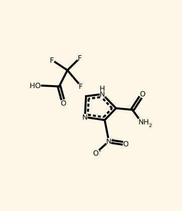 NC(=O)c1[nH]cnc1[N+](=O)[O-].O=C(O)C(F)(F)F